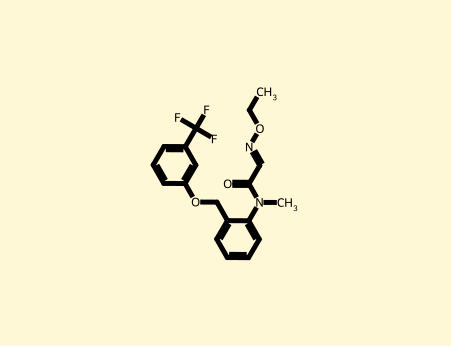 CCON=CC(=O)N(C)c1ccccc1COc1cccc(C(F)(F)F)c1